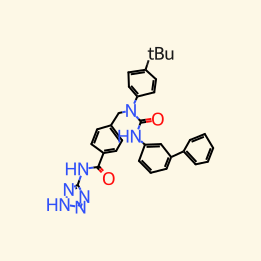 CC(C)(C)c1ccc(N(Cc2ccc(C(=O)Nc3nn[nH]n3)cc2)C(=O)Nc2cccc(-c3ccccc3)c2)cc1